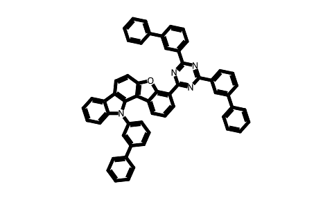 c1ccc(-c2cccc(-c3nc(-c4cccc(-c5ccccc5)c4)nc(-c4cccc5c4oc4ccc6c7ccccc7n(-c7cccc(-c8ccccc8)c7)c6c45)n3)c2)cc1